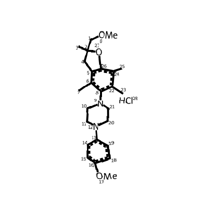 COCC1(C)Cc2c(C)c(N3CCN(c4ccc(OC)cc4)CC3)c(C)c(C)c2O1.Cl